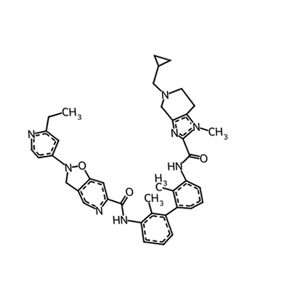 CCc1cc(N2Cc3cnc(C(=O)Nc4cccc(-c5cccc(NC(=O)c6nc7c(n6C)CCN(CC6CC6)C7)c5C)c4C)cc3O2)ccn1